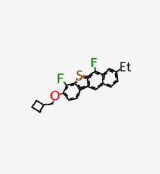 CCc1ccc2cc3c(sc4c(F)c(OCC5CCC5)ccc43)c(F)c2c1